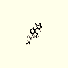 Cc1cnn(C)c1-c1nccc(NC(=O)OC(C)(C)C)c1C=O